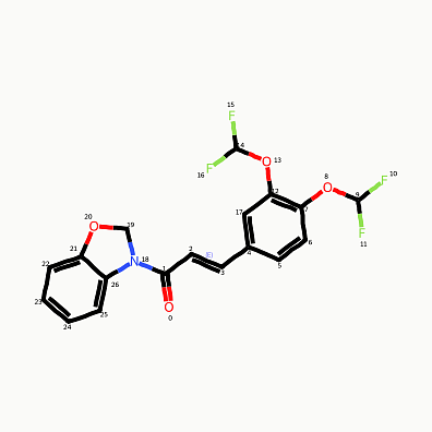 O=C(/C=C/c1ccc(OC(F)F)c(OC(F)F)c1)N1COc2ccccc21